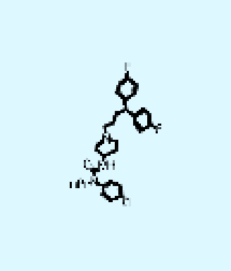 CCCN(C(=O)NC1CCN(CCCC(c2ccc(F)cc2)c2ccc(F)cc2)CC1)c1ccc(Cl)cc1